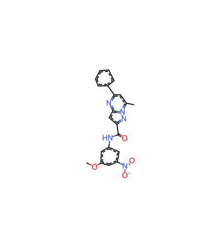 COc1cc(NC(=O)c2cc3nc(-c4ccccc4)cc(C)n3n2)cc([N+](=O)[O-])c1